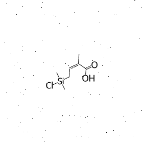 CC(=CC[Si](C)(C)Cl)C(=O)O